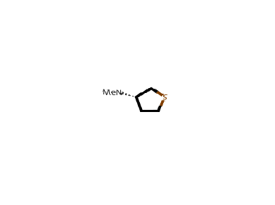 CN[C@H]1CCSC1